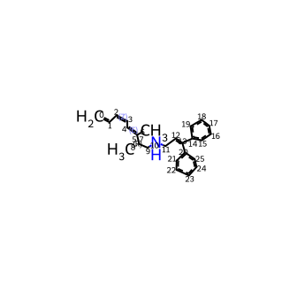 C=C/C=C\C=C(/C)[C@@H](C)CNCC=C(c1ccccc1)c1ccccc1